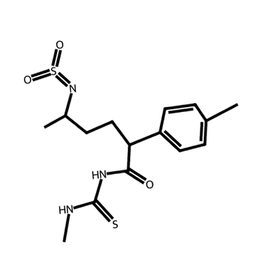 CNC(=S)NC(=O)C(CCC(C)N=S(=O)=O)c1ccc(C)cc1